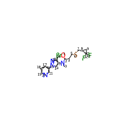 CN(C(=O)CCSCC1CC1(F)F)c1cn(-c2cccnc2)nc1Br